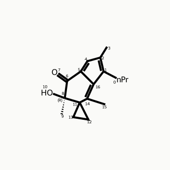 [CH2]CCC1=C(C)C=C2C(=O)[C@](C)(O)C3(CC3)C(C)=C21